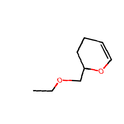 CCOCC1CCC=CO1